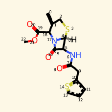 C=C1CS[C@H]2C(NC(=O)Cc3cccs3)C(=O)N2C1C(=O)OC